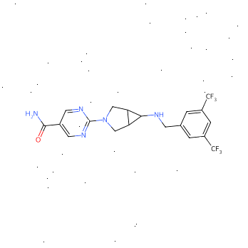 NC(=O)c1cnc(N2CC3C(C2)C3NCc2cc(C(F)(F)F)cc(C(F)(F)F)c2)nc1